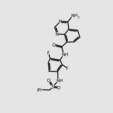 CC(C)CS(=O)(=O)Nc1ccc(F)c(NC(=O)c2cccc3c(N)ncnc23)c1F